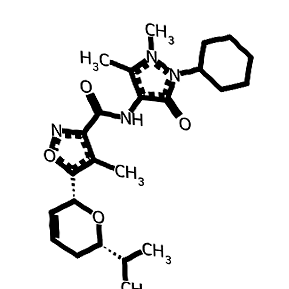 Cc1c(C(=O)Nc2c(C)n(C)n(C3CCCCC3)c2=O)noc1[C@H]1C=CC[C@@H](C(C)C)O1